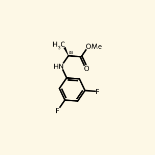 COC(=O)[C@H](C)Nc1cc(F)cc(F)c1